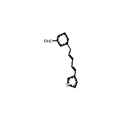 O=Cc1cccc(CC=CC=Cc2ccsc2)c1